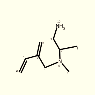 C=CC(=C)CN(C)C(C)CN